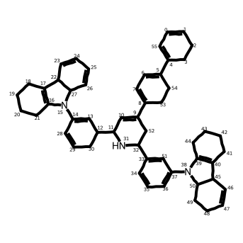 C1=CCCC(C2=CC=C(C3=CC(C4C=C(N5C6=C(CCCC6)C6C=CC=CC65)C=CC4)NC(c4cccc(N5C6=C(CCCC6)C6C=CCCC65)c4)C3)CC2)=C1